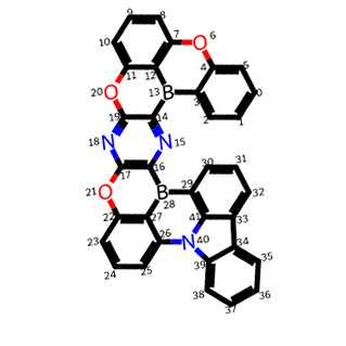 c1ccc2c(c1)Oc1cccc3c1B2c1nc2c(nc1O3)Oc1cccc3c1B2c1cccc2c4ccccc4n-3c12